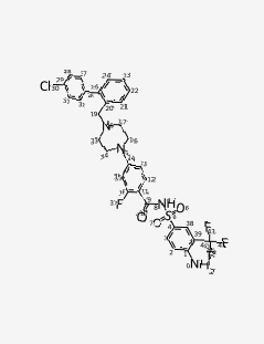 Nc1ccc(S(=O)(=O)NC(=O)c2ccc(N3CCN(Cc4ccccc4-c4ccc(Cl)cc4)CC3)cc2F)cc1C(F)(F)F